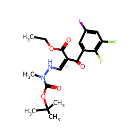 CCOC(=O)/C(=C\NN(C)C(=O)OC(C)(C)C)C(=O)c1cc(I)cc(F)c1F